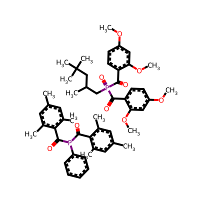 COc1ccc(C(=O)P(=O)(CC(C)CC(C)(C)C)C(=O)c2ccc(OC)cc2OC)c(OC)c1.Cc1cc(C)c(C(=O)P(C(=O)c2c(C)cc(C)cc2C)c2ccccc2)c(C)c1